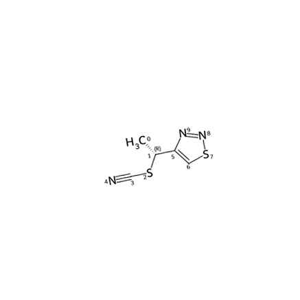 C[C@@H](SC#N)c1csnn1